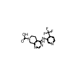 O=C(O)N1CCc2c(ncnc2Nc2cnccc2C(F)(F)F)C1